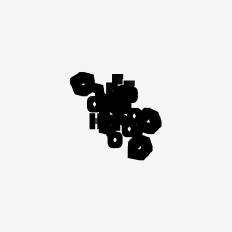 O=C(Cc1ccccc1)NC1S[C@@H]2CC(=O)N2C(C(=O)OC(c2ccccc2)c2ccccc2)=C1OS(=O)(=O)C(F)(F)F